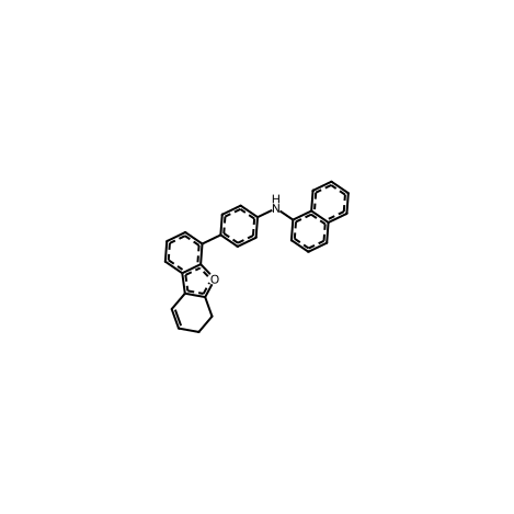 C1=Cc2c(oc3c(-c4ccc(Nc5cccc6ccccc56)cc4)cccc23)CC1